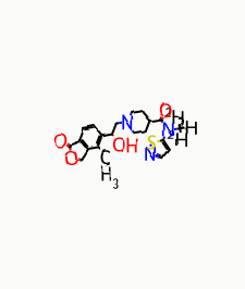 [2H]C([2H])([2H])N(C(=O)C1CCN(C[C@H](O)c2ccc3c(c2C)COC3=O)CC1)c1ccns1